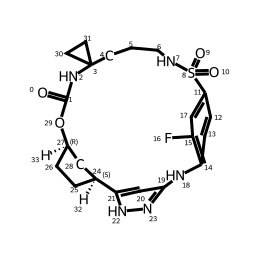 O=C1NC2(CCCNS(=O)(=O)c3ccc(c(F)c3)Nc3cc([nH]n3)[C@H]3CC[C@H](C3)O1)CC2